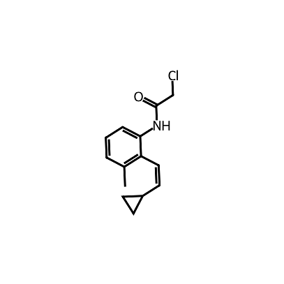 Cc1cccc(NC(=O)CCl)c1/C=C\C1CC1